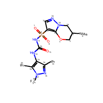 CNC1COc2c(S(=O)(=O)NC(=O)Nc3c(C(C)C)nn(C(F)(F)F)c3C(C)C)cnn2C1